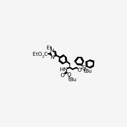 CCOC(=O)c1nc(-c2ccc(C[C@@H](CCO[Si](c3ccccc3)(c3ccccc3)C(C)(C)C)NC(=O)OC(C)(C)C)cc2)cn1CC